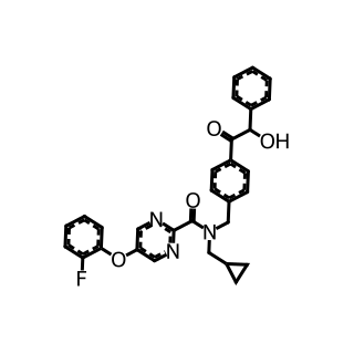 O=C(c1ccc(CN(CC2CC2)C(=O)c2ncc(Oc3ccccc3F)cn2)cc1)C(O)c1ccccc1